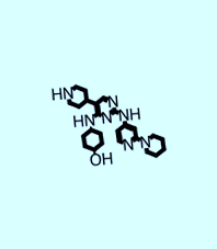 O[C@H]1CC[C@H](Nc2nc(Nc3ccnc(N4CCCCC4)c3)ncc2C2CCNCC2)CC1